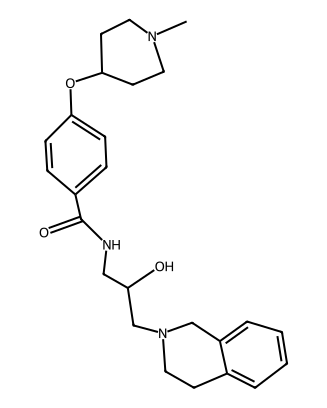 CN1CCC(Oc2ccc(C(=O)NCC(O)CN3CCc4ccccc4C3)cc2)CC1